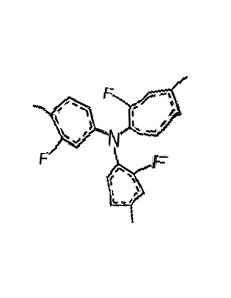 Cc1ccc(N(c2ccc(C)c(F)c2)c2ccc(C)cc2F)c(F)c1